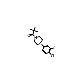 CC(C)(C)C(=O)N1CCN(c2ccc(Cl)c(Cl)c2)CC1